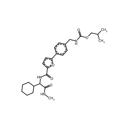 CNC(=O)C(NC(=O)c1ccc(-c2ccc(CNC(=O)OCC(C)C)cc2)o1)C1CCCCC1